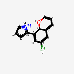 ClC1=CC2=CC=COC2C(c2ccc[nH]2)=C1